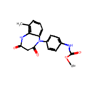 Cc1cccc2c1NC(=O)CC(=O)N2c1ccc(NC(=O)OC(C)(C)C)cc1